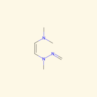 C=NN(C)/C=C\N(C)C